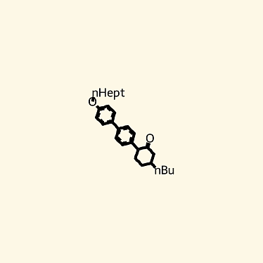 CCCCCCCOc1ccc(-c2ccc(C3CCC(CCCC)CC3=O)cc2)cc1